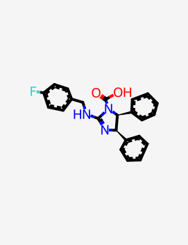 O=C(O)N1C(NCc2ccc(F)cc2)=N[C@H](c2ccccc2)[C@@H]1c1ccccc1